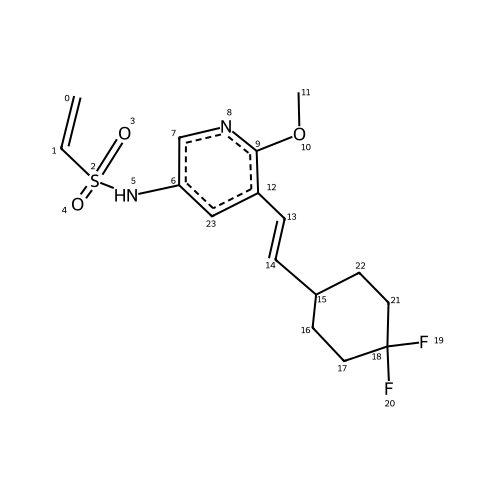 C=CS(=O)(=O)Nc1cnc(OC)c(C=CC2CCC(F)(F)CC2)c1